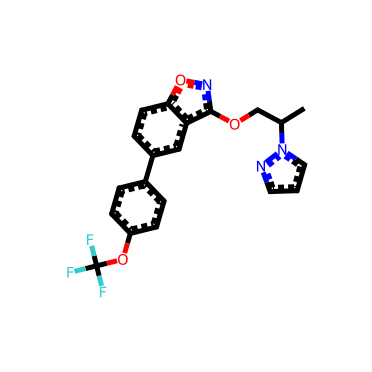 CC(COc1noc2ccc(-c3ccc(OC(F)(F)F)cc3)cc12)n1cccn1